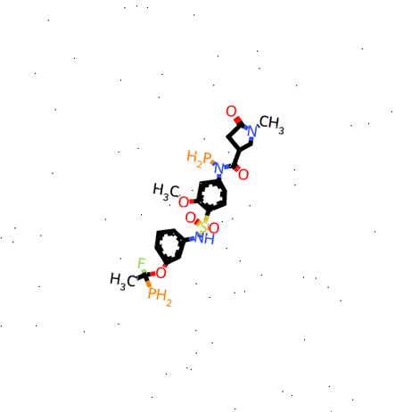 COc1cc(N(P)C(=O)C2CC(=O)N(C)C2)ccc1S(=O)(=O)Nc1cccc(OC(C)(F)P)c1